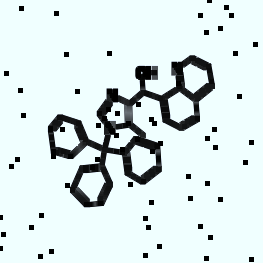 Cc1c(C(O)c2cccc3cccnc23)ncn1C(c1ccccc1)(c1ccccc1)c1ccccc1